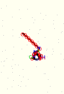 COc1cc2cc(c1Cl)N(C)C(=O)C[C@H](OC(=O)[C@H](C)N(C)C(=O)CCC(C)(C)SCC(=O)N(C)CCOCCOCCOCCOCCOCCOCCOCCOCCC(C)=O)[C@]1(C)O[C@H]1[C@H](C)[C@@H]1C[C@@](O)(NC(=O)O1)[C@H](OC)/C=C/C=C(\C)C2